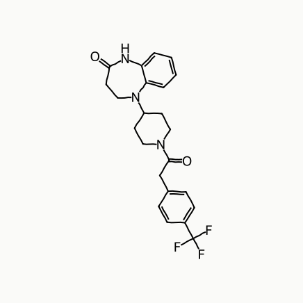 O=C1CCN(C2CCN(C(=O)Cc3ccc(C(F)(F)F)cc3)CC2)c2ccccc2N1